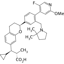 COc1cc(-c2ccc([C@@H]3CCc4ccc([C@H](C5CC5)[C@H](C)C(=O)O)cc4O3)cc2CN2CCCC2(C)C)c(F)cn1